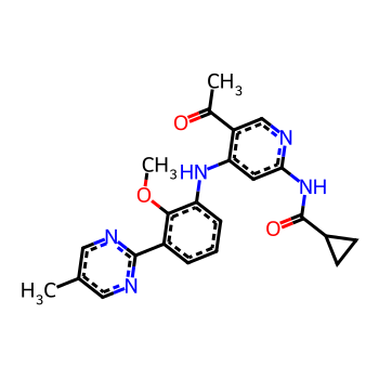 COc1c(Nc2cc(NC(=O)C3CC3)ncc2C(C)=O)cccc1-c1ncc(C)cn1